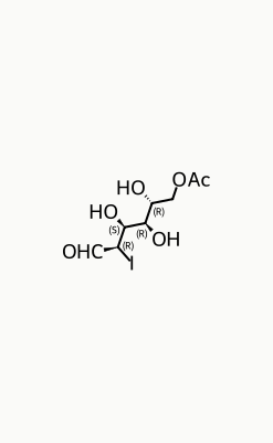 CC(=O)OC[C@@H](O)[C@@H](O)[C@H](O)[C@@H](I)C=O